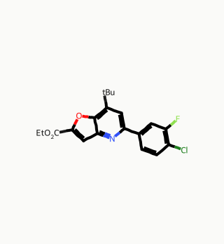 CCOC(=O)c1cc2nc(-c3ccc(Cl)c(F)c3)cc(C(C)(C)C)c2o1